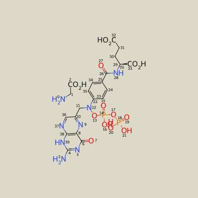 NCC(=O)O.Nc1nc(=O)c2nc(CN(OP(=O)(O)OP(=O)(O)O)c3ccc(C(=O)N[C@@H](CCC(=O)O)C(=O)O)cc3)cnc2[nH]1